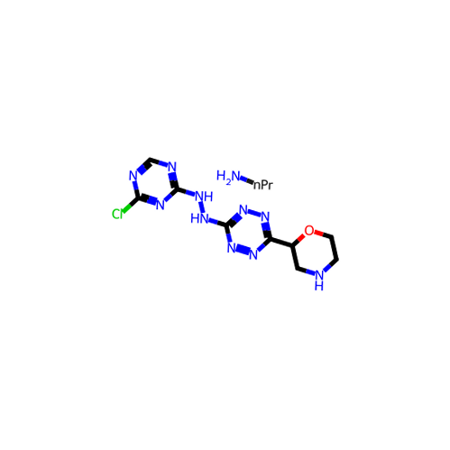 CCCN.Clc1ncnc(NNc2nnc(C3CNCCO3)nn2)n1